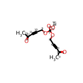 CC(=O)C#CCOC1(OCC#CC(C)=O)OO1.[Ti]